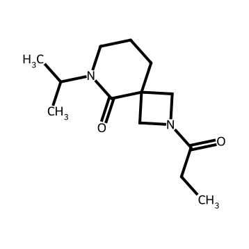 CCC(=O)N1CC2(CCCN(C(C)C)C2=O)C1